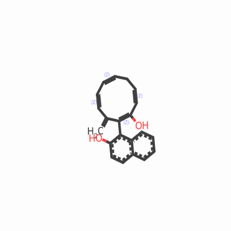 C=C1/C=C\C=C/C/C=C\C(O)=C/1c1c(O)ccc2ccccc12